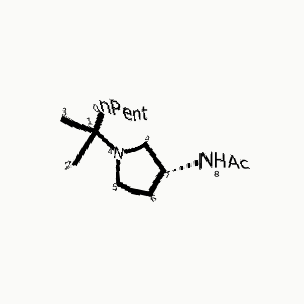 CCCCCC(C)(C)N1CC[C@@H](NC(C)=O)C1